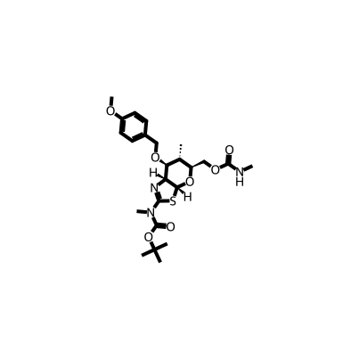 CNC(=O)OC[C@H]1O[C@@H]2SC(N(C)C(=O)OC(C)(C)C)=N[C@@H]2[C@@H](OCc2ccc(OC)cc2)[C@@H]1C